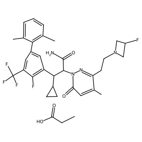 CCC(=O)O.Cc1cc(=O)n(C(C(N)=O)C(c2cc(-c3c(C)cccc3C)cc(C(F)(F)F)c2F)C2CC2)nc1CCN1CC(F)C1